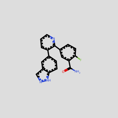 NC(=O)c1cc(-c2ncccc2-c2ccc3[nH]ncc3c2)ccc1F